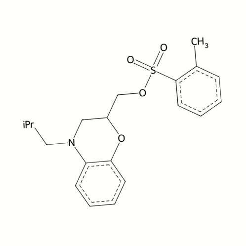 Cc1ccccc1S(=O)(=O)OCC1CN(CC(C)C)c2ccccc2O1